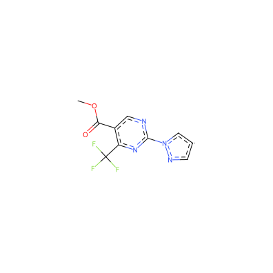 COC(=O)c1cnc(-n2c[c]cn2)nc1C(F)(F)F